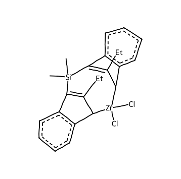 CCC1=C2c3ccccc3[CH]1[Zr]([Cl])([Cl])[CH]1C(CC)=C(c3ccccc31)[Si]2(C)C